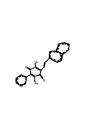 O=C1C(O)=C(c2ccccc2)C(=O)C(O)=C1/C=C/c1ccc2ccccc2c1